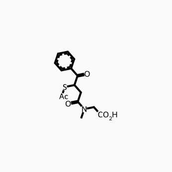 CC(=O)SC(CC(=O)N(C)CC(=O)O)C(=O)c1ccccc1